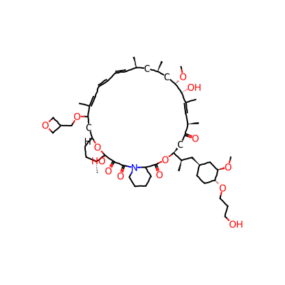 CO[C@H]1C[C@H](C)C[C@H](C)/C=C/C=C/C=C(\C)C(OCC2COC2)C[C@@H]2CC[C@@H](C)[C@@](O)(O2)C(=O)C(=O)N2CCCCC2C(=O)O[C@H]([C@H](C)C[C@@H]2CC[C@@H](OCCCO)[C@H](OC)C2)CC(=O)[C@H](C)/C=C(\C)[C@H]1O